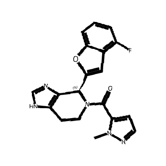 Cn1nccc1C(=O)N1CCc2[nH]cnc2[C@H]1c1cc2c(F)cccc2o1